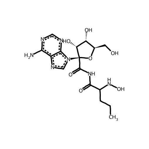 CCCC(NO)C(=O)NC(=O)[C@@]1(n2cnc3c(N)ncnc32)O[C@H](CO)[C@@H](O)[C@H]1O